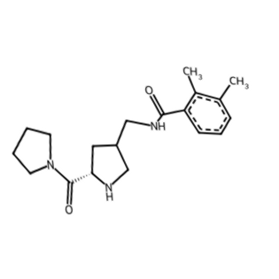 Cc1cccc(C(=O)NCC2CN[C@H](C(=O)N3CCCC3)C2)c1C